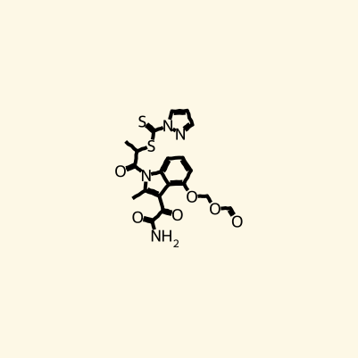 Cc1c(C(=O)C(N)=O)c2c(OCOC=O)cccc2n1C(=O)C(C)SC(=S)n1cccn1